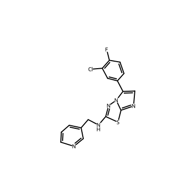 Fc1ccc(-c2cnc3sc(NCc4cccnc4)nn23)cc1Cl